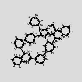 c1ccc(-c2nc(-c3cccc(-c4ccc(-c5nc6ccccc6c6ccc7c(nc(-c8ccccc8)n7-c7ccccc7)c56)cc4)c3)nc3ccccc23)cc1